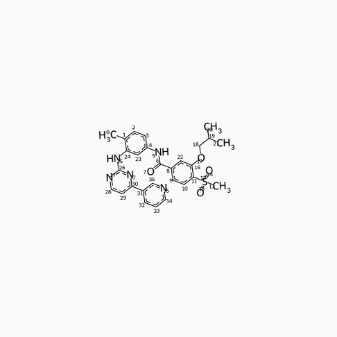 Cc1ccc(NC(=O)c2ccc(S(C)(=O)=O)c(OCC(C)C)c2)cc1Nc1nccc(-c2cccnc2)n1